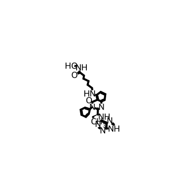 CC[C@H](Nc1ncnc2[nH]cnc12)c1nc2cccc(NCCCCCC(=O)NO)c2c(=O)n1-c1ccccc1